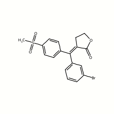 CS(=O)(=O)c1ccc(/C(=C2\CCOC2=O)c2cccc(Br)c2)cc1